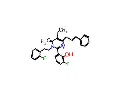 C=C1C(CC)=C(CCCc2ccccc2)N=C(c2cccc(F)c2O)N1CCc1ccccc1F